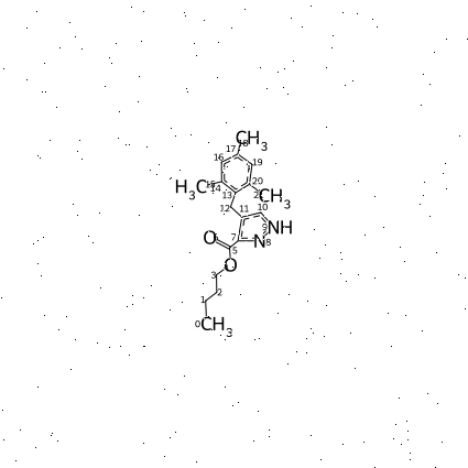 CCCCOC(=O)c1n[nH]cc1Cc1c(C)cc(C)cc1C